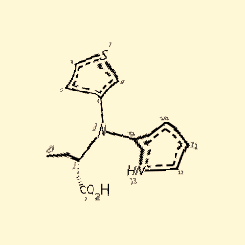 C[C@@H](C(=O)O)N(c1ccsc1)c1ccc[nH]1